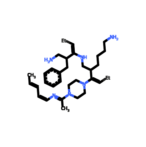 C/C=C/C=C\N=C(/C)N1CCN(/C(=C/CC)C(CCCCN)CN/C(=C/CC)C(CN)Cc2ccccc2)CC1